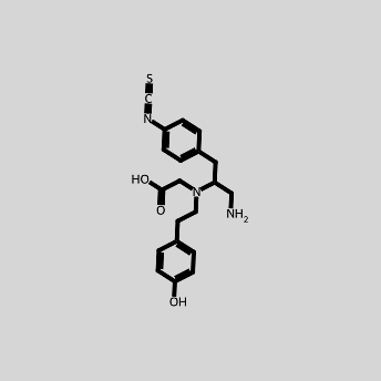 NCC(Cc1ccc(N=C=S)cc1)N(CCc1ccc(O)cc1)CC(=O)O